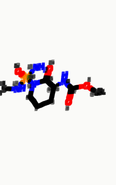 CC(C)(C)OC(=O)N[C@@H]1CCCN([P@@](N)(=O)NS(=O)(=O)O)C1=O